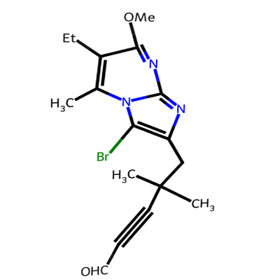 CCc1c(OC)nc2nc(CC(C)(C)C#CC=O)c(Br)n2c1C